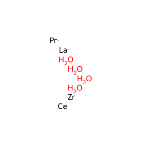 O.O.O.O.[Ce].[La].[Pr].[Zr]